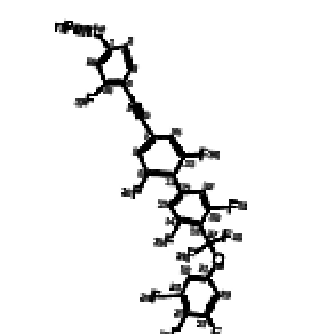 CCCCCc1ccc(C#Cc2cc(F)c(-c3cc(F)c(C(F)(F)Oc4cc(F)c(F)c(F)c4)c(F)c3)c(F)c2)c(F)c1